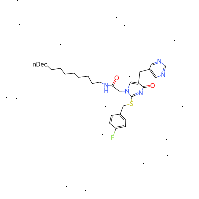 CCCCCCCCCCCCCCCCCCNC(=O)Cn1cc(Cc2cncnc2)c(=O)nc1SCc1ccc(F)cc1